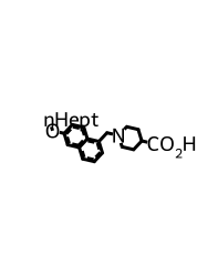 CCCCCCCOc1ccc2c(CN3CCC(C(=O)O)CC3)cccc2c1